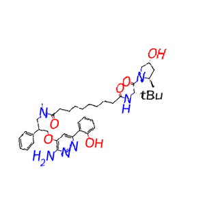 C[C@@H]1C[C@@H](O)CN1C(=O)[C@@H](NC(=O)CCCCCCCCC(=O)N(C)CC(COc1cc(-c2ccccc2O)nnc1N)c1ccccc1)C(C)(C)C